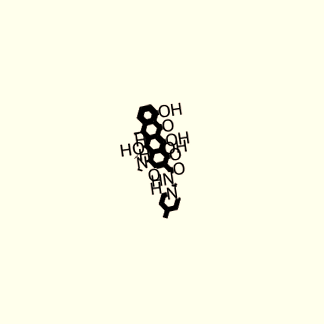 CC1CCN(CNC(=O)C2=C(O)[C@@H](N(C)C)[C@@H]3[C@@H](O)[C@H]4C(=C(O)[C@]3(O)C2=O)C(=O)c2c(O)cccc2[C@@H]4C)CC1